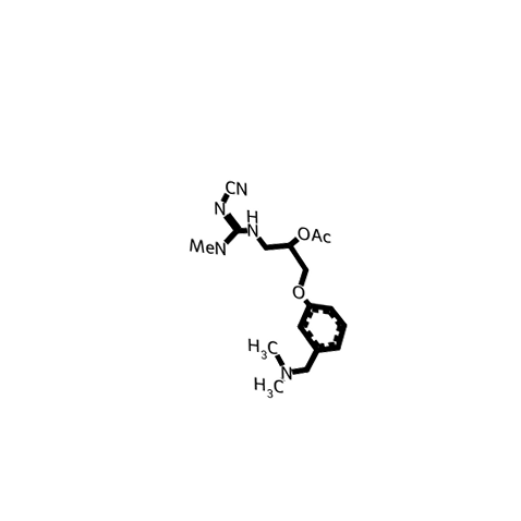 CN/C(=N/C#N)NCC(COc1cccc(CN(C)C)c1)OC(C)=O